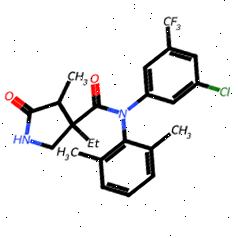 CCC1(C(=O)N(c2cc(Cl)cc(C(F)(F)F)c2)c2c(C)cccc2C)CNC(=O)C1C